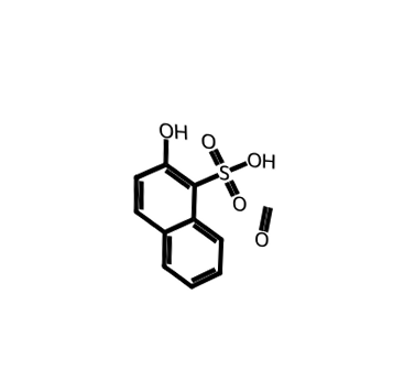 C=O.O=S(=O)(O)c1c(O)ccc2ccccc12